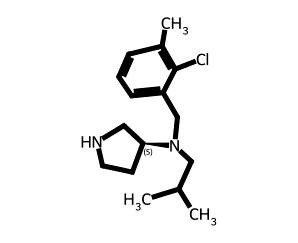 Cc1cccc(CN(CC(C)C)[C@H]2CCNC2)c1Cl